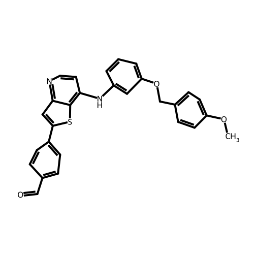 COc1ccc(COc2cccc(Nc3ccnc4cc(-c5ccc(C=O)cc5)sc34)c2)cc1